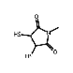 CN1C(=O)C(S)C(S)C1=O